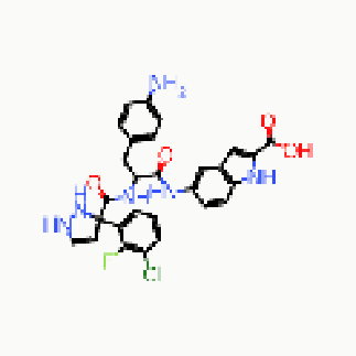 Nc1ccc(CC(NC(=O)C2(c3cccc(Cl)c3F)C=CNN2)C(=O)Nc2ccc3[nH]c(C(=O)O)cc3c2)cc1